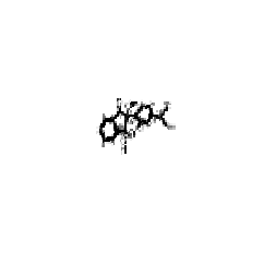 CO[C@@]12C(=O)c3ccccc3[C@]1(O)Oc1cc(C(C)C)ccc12